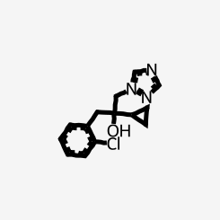 OC(Cc1ccccc1Cl)(Cn1cncn1)C1CC1